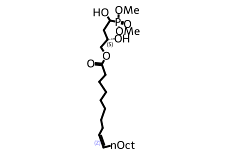 CCCCCCCC/C=C\CCCCCCCC(=O)OC[C@@H](O)CC(O)P(=O)(OC)OC